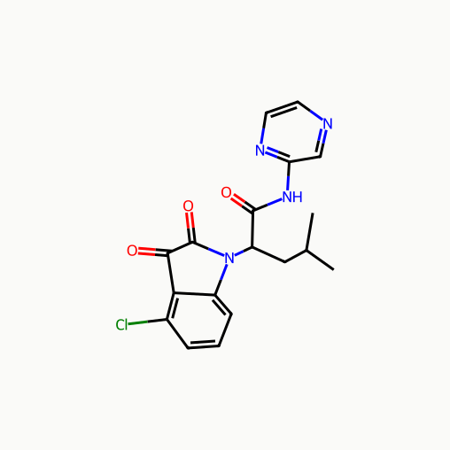 CC(C)CC(C(=O)Nc1cnccn1)N1C(=O)C(=O)c2c(Cl)cccc21